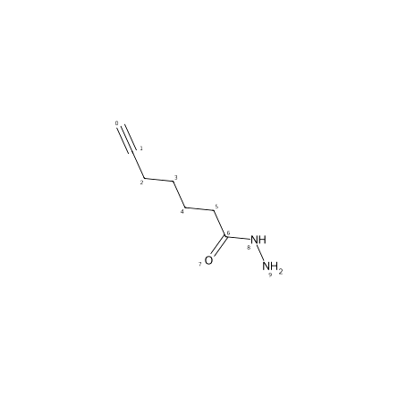 C#CCCCCC(=O)NN